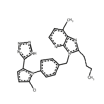 CCCCc1nc2c(C)ccnc2n1Cc1ccc(-n2c(Cl)ccc2-c2nnn[nH]2)cc1